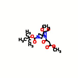 COC(=O)CC(=O)NC1(C(C=O)OC)CN(C(=O)OC(C)(C)C)C1